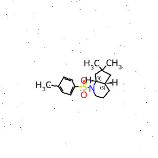 Cc1ccc(S(=O)(=O)N2CCC[C@H]3CC(C)(C)C[C@H]32)cc1